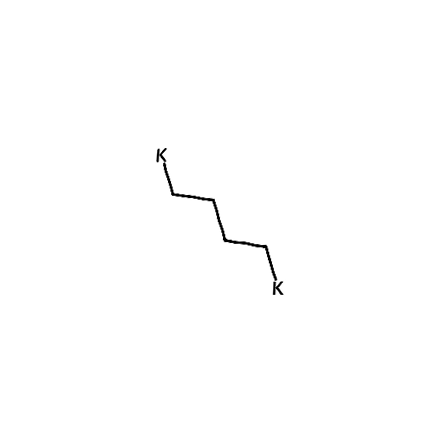 [K][CH2]CC[CH2][K]